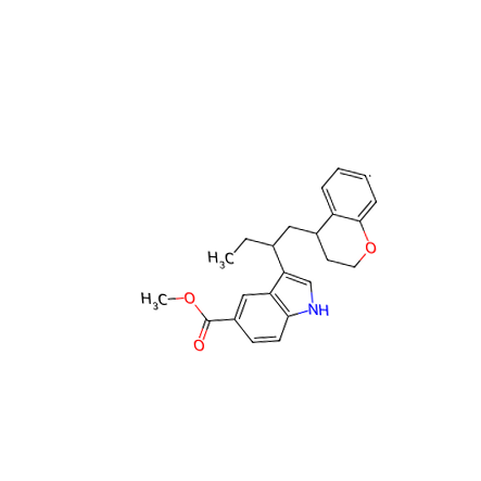 CCC(CC1CCOc2c[c]ccc21)c1c[nH]c2ccc(C(=O)OC)cc12